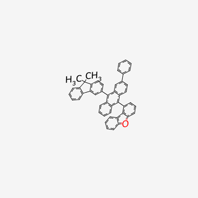 CC1(C)c2ccccc2-c2cc(-c3c4ccccc4c(-c4cccc5oc6ccccc6c45)c4ccc(-c5ccccc5)cc34)ccc21